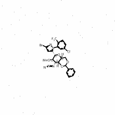 CO[C@@H]1[C@@H](N=[N+]=[N-])[C@H]2OC(c3ccccc3)OC[C@H]2O[C@H]1c1cc(Br)nn1-c1cc(Cl)ccc1C(F)(F)F